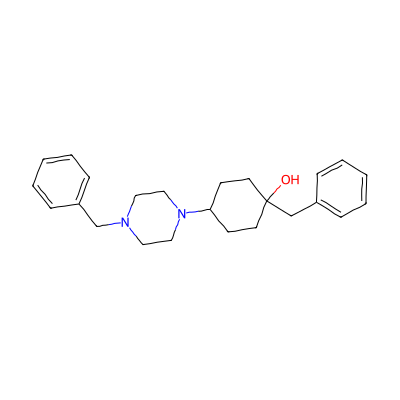 OC1(Cc2ccccc2)CCC(N2CCN(Cc3ccccc3)CC2)CC1